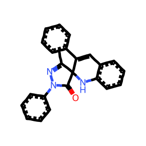 CC1=NN(c2ccccc2)C(=O)C12Nc1ccccc1C=C2c1ccccc1